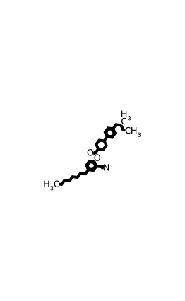 CCCCCCCCc1ccc(OC(=O)C2CCC(c3ccc(CC(C)CC)cc3)CC2)c(C#N)c1